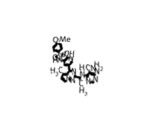 COc1ccc(S(=O)(=O)Nc2cc(-c3nc(C(C)Nc4ncnc(N)c4C#N)nn4ccc(C)c34)cnc2O)cc1